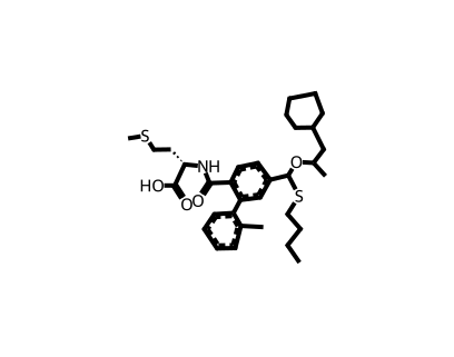 CCCCSC(OC(C)CC1CCCCC1)c1ccc(C(=O)N[C@@H](CCSC)C(=O)O)c(-c2ccccc2C)c1